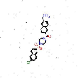 NCc1ccc2c(c1)CC[C@H](C(=O)N1CCN(S(=O)(=O)c3ccc4cc(Cl)ccc4c3)CC1)C2